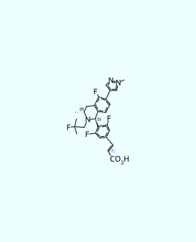 C[C@@H]1Cc2c(ccc(-c3cnn(C)c3)c2F)[C@@H](c2c(F)cc(/C=C/C(=O)O)cc2F)N1CC(C)(C)F